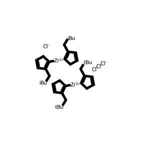 CC(C)(C)CC1=[C]([Zr+2][C]2=C(CC(C)(C)C)C=CC2)CC=C1.CCC(C)CC1=[C]([Zr+2][C]2=C(CC(C)CC)C=CC2)CC=C1.[Cl-].[Cl-].[Cl-].[Cl-]